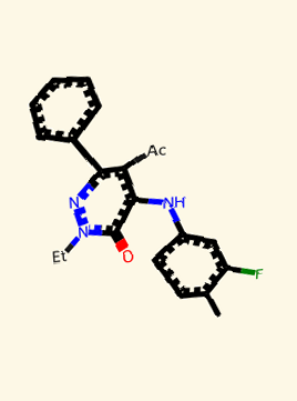 CCn1nc(-c2ccccc2)c(C(C)=O)c(Nc2ccc(C)c(F)c2)c1=O